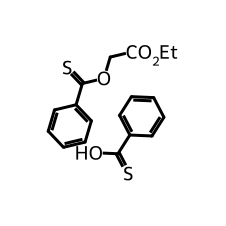 CCOC(=O)COC(=S)c1ccccc1.OC(=S)c1ccccc1